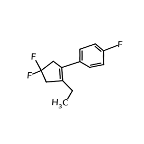 CCC1=C(c2ccc(F)cc2)CC(F)(F)C1